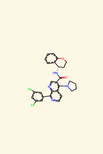 O=C(N[C@H]1CCOc2ccccc21)c1cnc2c(-c3cc(Cl)cc(Cl)c3)nccc2c1N1CCCC1